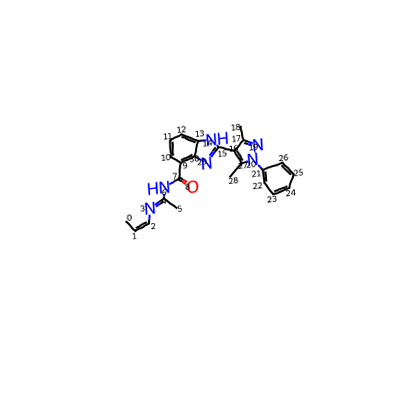 C/C=C\N=C(/C)NC(=O)c1cccc2[nH]c(-c3c(C)nn(-c4ccccc4)c3C)nc12